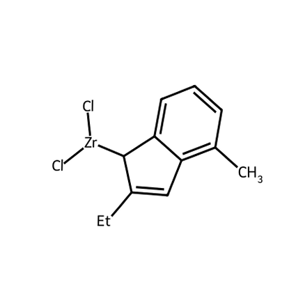 CCC1=Cc2c(C)cccc2[CH]1[Zr]([Cl])[Cl]